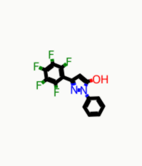 Oc1cc(-c2c(F)c(F)c(F)c(F)c2F)nn1-c1ccccc1